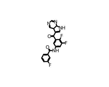 O=C(Nc1cc(F)c(F)c(C(=O)C2=CNC3N=CN=CC23)c1)c1cccc(F)c1